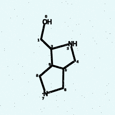 OCC1NCC2C[N]CC21